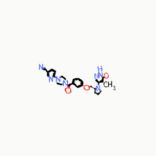 Cc1c(N2CCC[C@H]2COc2cccc(C(=O)N3CCN(c4ccc(C#N)cn4)CC3)c2)cn[nH]c1=O